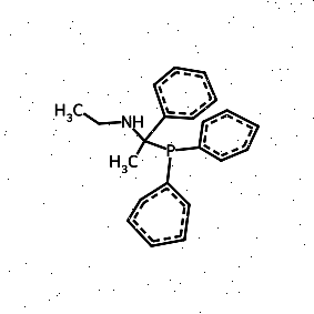 CCNC(C)(c1ccccc1)P(c1ccccc1)c1ccccc1